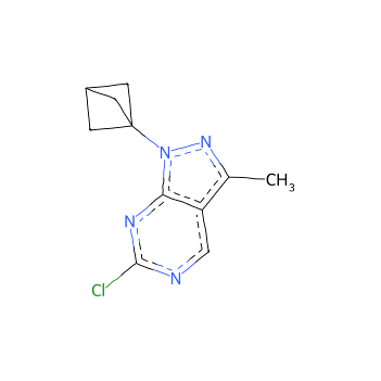 Cc1nn(C23CC(C2)C3)c2nc(Cl)ncc12